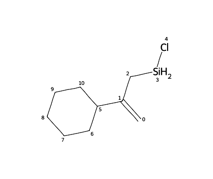 C=C(C[SiH2]Cl)C1CCCCC1